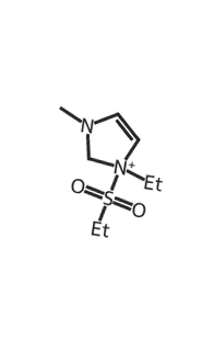 CC[N+]1(S(=O)(=O)CC)C=CN(C)C1